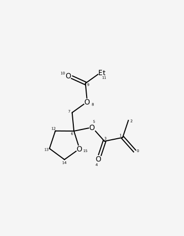 C=C(C)C(=O)OC1(COC(=O)CC)CCCO1